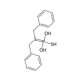 OP(O)(S)=S(Cc1ccccc1)Cc1ccccc1